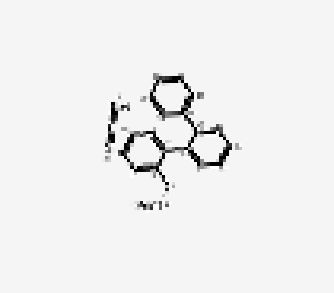 CCC[C@@H](C)Cc1ccccc1-c1ccccc1-c1ccccc1.N=C=S